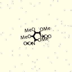 COC(N=C=O)C(OC)C(OC)C(N=C=O)OC